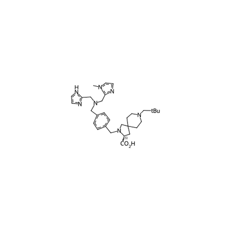 Cn1ccnc1CN(Cc1ccc(CN2CC3(CCN(CC(C)(C)C)CC3)C[C@H]2C(=O)O)cc1)Cc1ncc[nH]1